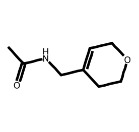 CC(=O)NCC1=CCOCC1